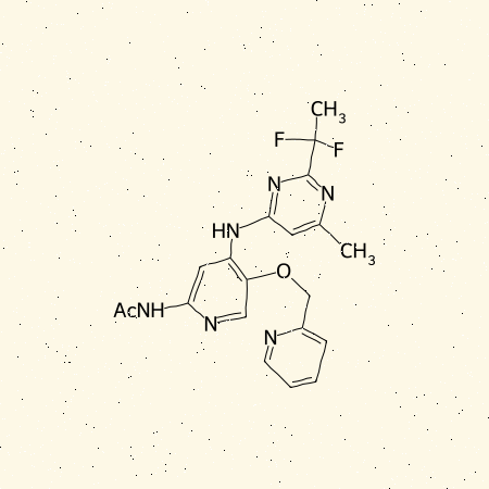 CC(=O)Nc1cc(Nc2cc(C)nc(C(C)(F)F)n2)c(OCc2ccccn2)cn1